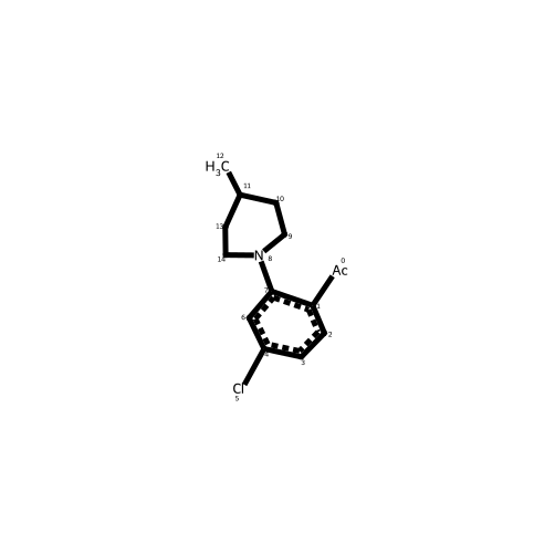 CC(=O)c1ccc(Cl)cc1N1CCC(C)CC1